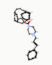 O=C(CCc1cc2ccc1CCc1ccc(cc1)CC2)N1CCN(C/C=C/c2ccccc2)CC1